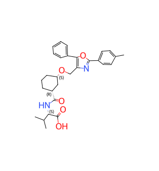 Cc1ccc(-c2nc(CO[C@H]3CCC[C@@H](C(=O)N[C@H](C(=O)O)C(C)C)C3)c(-c3ccccc3)o2)cc1